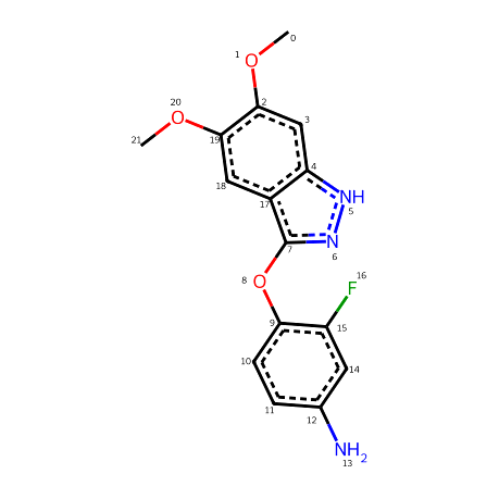 COc1cc2[nH]nc(Oc3ccc(N)cc3F)c2cc1OC